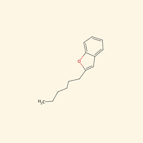 CCCCCCc1cc2ccccc2o1